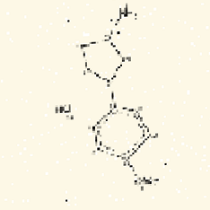 COc1ccc(C2CCC(N)C2)cc1.Cl